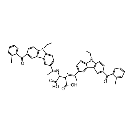 CCn1c2ccc(C(=O)c3ccccc3C)cc2c2cc(C(C)=NC(C(=O)O)C(N=C(C)c3ccc4c(c3)c3cc(C(=O)c5ccccc5C)ccc3n4CC)C(=O)O)ccc21